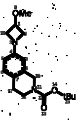 COC1CN(c2ccc3c(c2)CN(C(=O)OC(C)(C)C)CC3)C1